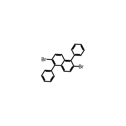 Brc1ccc2c(-c3ccccc3)c(Br)ccc2c1-c1ccccc1